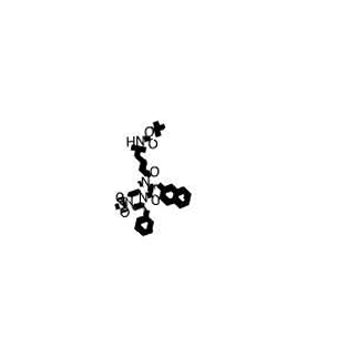 CN(C(=O)C=CCC(C)(C)NC(=O)OC(C)(C)C)[C@H](Cc1ccc2ccccc2c1)C(=O)N1CCN(S(C)(=O)=O)C[C@H]1Cc1ccccc1